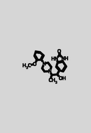 COc1ccccc1N1CCN(C(C)C(O)c2ccc3[nH]c(=O)[nH]c3c2)CC1